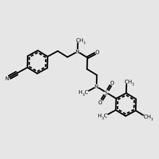 Cc1cc(C)c(S(=O)(=O)N(C)CCC(=O)N(C)CCc2ccc(C#N)cc2)c(C)c1